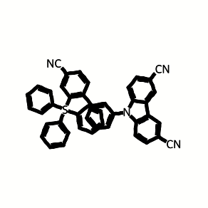 N#Cc1ccc(-c2cccc(-n3c4ccc(C#N)cc4c4cc(C#N)ccc43)c2)c(S(c2ccccc2)(c2ccccc2)c2ccccc2)c1